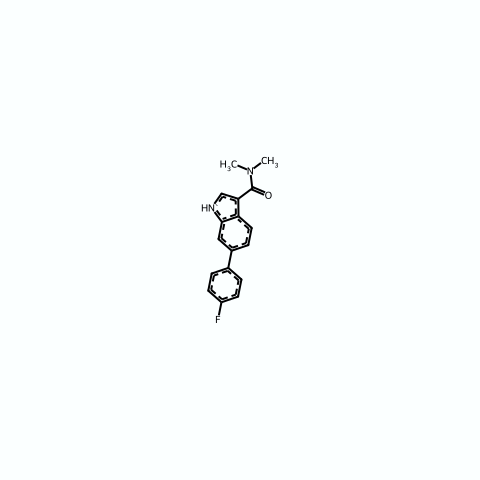 CN(C)C(=O)c1c[nH]c2cc(-c3ccc(F)cc3)ccc12